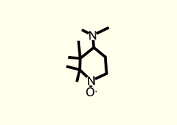 CN(C)C1CCN([O])C(C)(C)C1(C)C